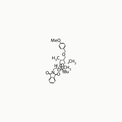 C=C[C@@H]1O[C@H](CC(CN2C(=O)c3ccccc3C2=O)O[Si](C)(C)C(C)(C)C)[C@H](C)C1COCc1ccc(OC)cc1